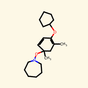 CC1=C(OC2CCCCC2)C=CC(C)(ON2CCCCCC2)C1